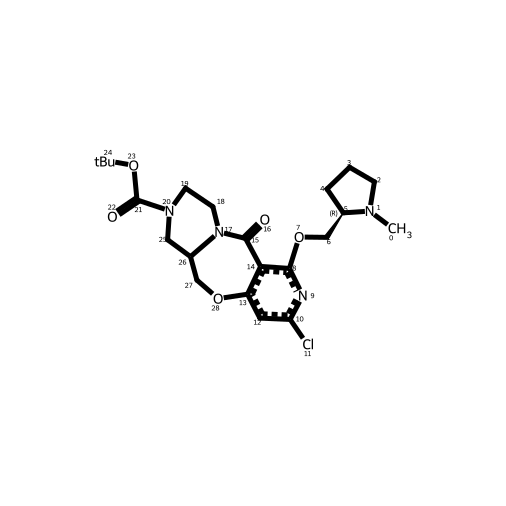 CN1CCC[C@@H]1COc1nc(Cl)cc2c1C(=O)N1CCN(C(=O)OC(C)(C)C)CC1CO2